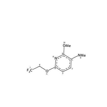 CNc1ccc(OCC(F)(F)F)nc1OC